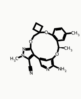 Cc1ccc2c(c1)[C@@H](C)Oc1cc(cnc1N)-c1c(nn(C)c1C#N)OCC1(CCC1)O2